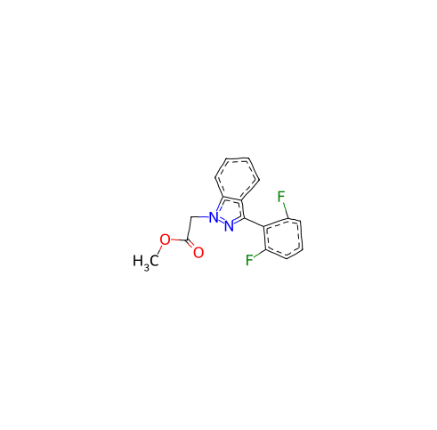 COC(=O)Cn1nc(-c2c(F)cccc2F)c2ccccc21